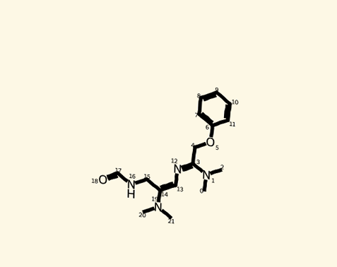 CN(C)/C(COc1ccccc1)=N\C=C(/CNC=O)N(C)C